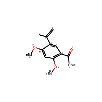 C=C(C)c1cc(C(=O)OC)c(OCCCC)cc1OCCCC